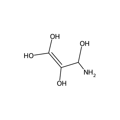 NC(O)C(O)=C(O)O